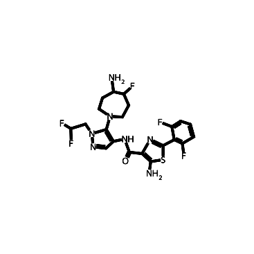 Nc1sc(-c2c(F)cccc2F)nc1C(=O)Nc1cnn(CC(F)F)c1N1CCC(N)C(F)CC1